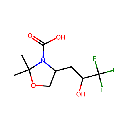 CC1(C)OCC(CC(O)C(F)(F)F)N1C(=O)O